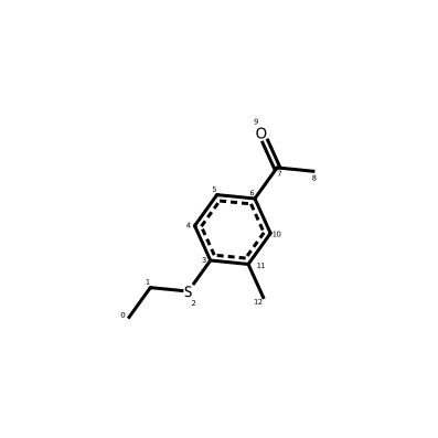 CCSc1ccc(C(C)=O)cc1C